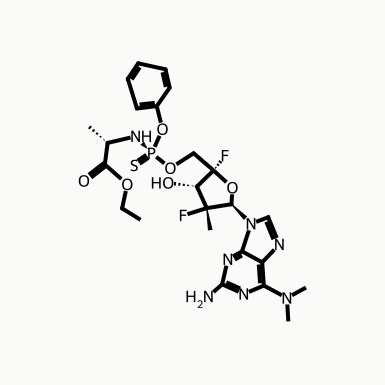 CCOC(=O)[C@H](C)N[P@](=S)(OC[C@@]1(F)O[C@@H](n2cnc3c(N(C)C)nc(N)nc32)[C@](C)(F)[C@@H]1O)Oc1ccccc1